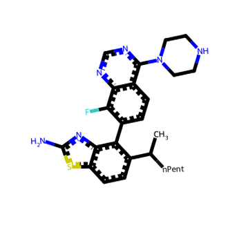 CCCCCC(C)c1ccc2sc(N)nc2c1-c1ccc2c(N3CCNCC3)ncnc2c1F